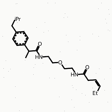 CC/C=C\CC(=O)NCCOCCNC(=O)C(C)c1ccc(CC(C)C)cc1